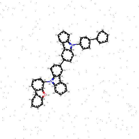 c1ccc(-c2ccc(-n3c4ccccc4c4cc(-c5ccc6c(c5)c5ccccc5n6-c5cccc6c5oc5ccccc56)ccc43)cc2)cc1